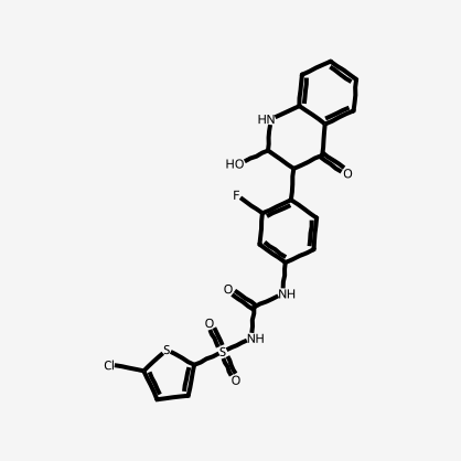 O=C(Nc1ccc(C2C(=O)c3ccccc3NC2O)c(F)c1)NS(=O)(=O)c1ccc(Cl)s1